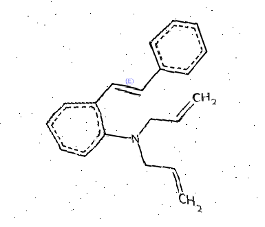 C=CCN(CC=C)c1ccccc1/C=C/c1ccccc1